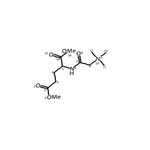 COC(=O)CCC(NC(=O)C[N+](C)(C)C)C(=O)OC